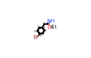 CCOC(=N)Cc1ccc(Br)cc1